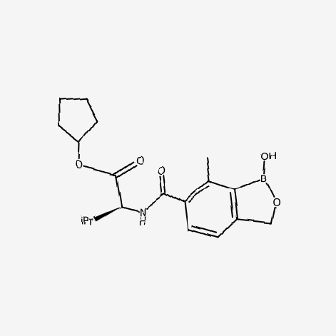 Cc1c(C(=O)N[C@H](C(=O)OC2CCCC2)C(C)C)ccc2c1B(O)OC2